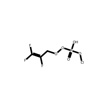 O=P(O)(OCl)OOCC(F)=C(F)F